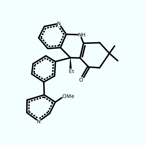 CC[C@]1(c2cccc(-c3ccncc3OC)c2)C2=C(CC(C)(C)CC2=O)Nc2ncccc21